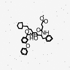 COC(=O)CCC(=O)NC(Cc1ccccc1)[C@@H](O)CC(CCCC1CCCCC1)NC(=O)c1cccc(Oc2ccccc2)c1